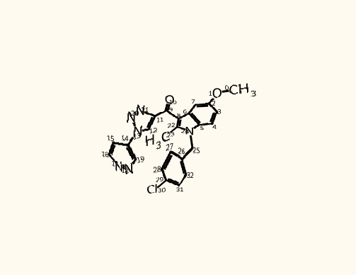 COc1ccc2c(c1)c(C(=O)c1cn(-c3ccnnc3)nn1)c(C)n2Cc1ccc(Cl)cc1